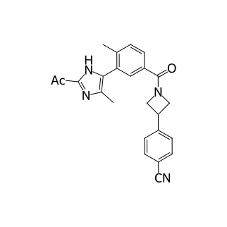 CC(=O)c1nc(C)c(-c2cc(C(=O)N3CC(c4ccc(C#N)cc4)C3)ccc2C)[nH]1